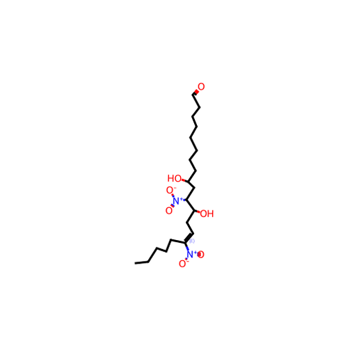 CCCCC/C(=C\CC(O)C(CC(O)CCCCCCCC=O)[N+](=O)[O-])[N+](=O)[O-]